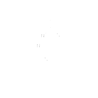 c1ccc(-n2c(-c3c(-n4c5ccccc5c5ccccc54)cccc3-n3c4ccccc4c4ccccc43)nc3ccccc32)cc1